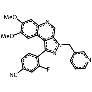 COc1cc2ncc3c(c(-c4ccc(C#N)cc4F)nn3Cc3cccnc3)c2cc1OC